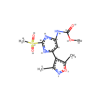 Cc1noc(C)c1-c1cc(NC(=O)OC(C)(C)C)nc(S(C)(=O)=O)n1